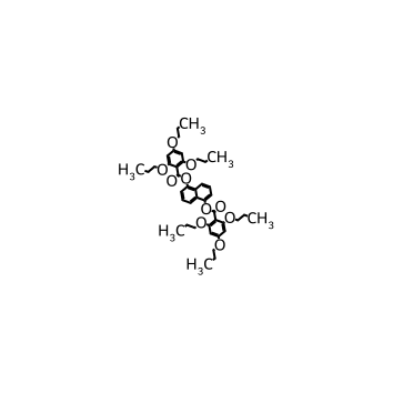 CCCOc1cc(OCCC)c(C(=O)Oc2cccc3c(OC(=O)c4c(OCCC)cc(OCCC)cc4OCCC)cccc23)c(OCCC)c1